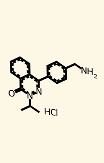 CC(C)n1nc(-c2ccc(CN)cc2)c2ccccc2c1=O.Cl